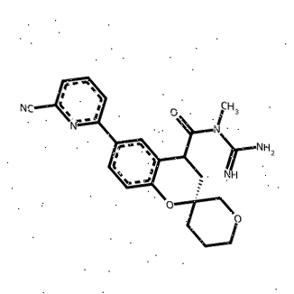 CN(C(=N)N)C(=O)C1C[C@]2(CCCOC2)Oc2ccc(-c3cccc(C#N)n3)cc21